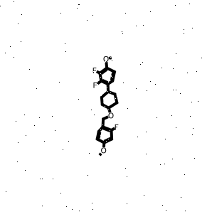 COc1ccc(COC2CCC(c3ccc(OC)c(F)c3F)CC2)c(F)c1